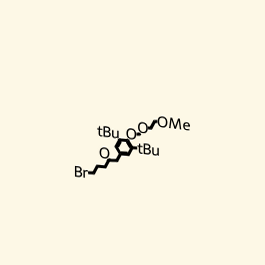 COCCOCOc1c(C(C)(C)C)cc(CC(=O)CCCBr)cc1C(C)(C)C